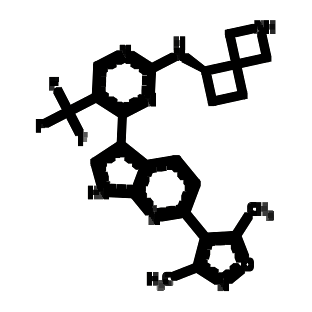 Cc1noc(C)c1-c1ccc2c(-c3nc(N[C@@H]4CCC45CNC5)ncc3C(F)(F)F)c[nH]c2n1